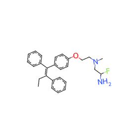 CC/C(=C(\c1ccccc1)c1ccc(OCCN(C)CC(N)F)cc1)c1ccccc1